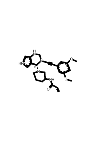 C=CC(=O)NC1CCCN([C@@H]2c3c[nH]cc3NCN2C#Cc2cc(OC)cc(OC)c2)C1